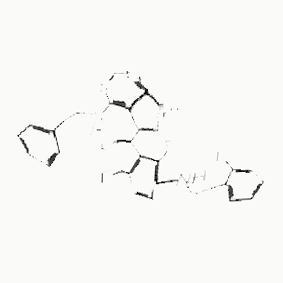 O=C(c1c(F)ccc(NSc2ccccc2F)c1F)c1c[nH]c2ncnc(NCc3ccccc3)c12